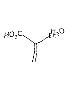 C=C(CC)C(=O)O.O